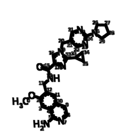 COc1cc2c(N)nccc2cc1CNC(=O)c1cn(Cc2cnc(N3CCCC3)nc2)c(C2CC2)n1